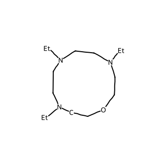 CCN1CCOCCN(CC)CCN(CC)CC1